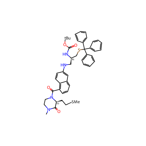 CSCC[C@H]1C(=O)N(C)CCN1C(=O)c1cccc2cc(NC[C@H](CSC(c3ccccc3)(c3ccccc3)c3ccccc3)NC(=O)OC(C)(C)C)ccc12